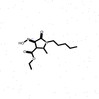 CCCCCN1C(=O)/C(=N/O)C(C(=O)OCC)C1C